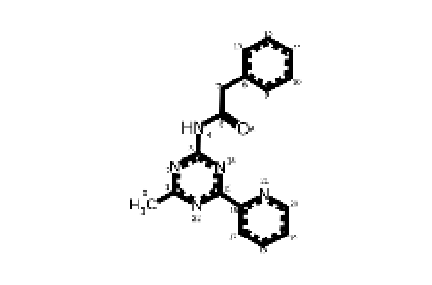 Cc1nc(NC(=O)Cc2ccccc2)nc(-c2ccccn2)n1